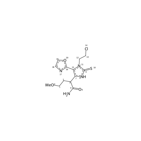 COCCC(C(N)=O)c1[nH]c(=S)n(CCCl)c1-c1ncco1